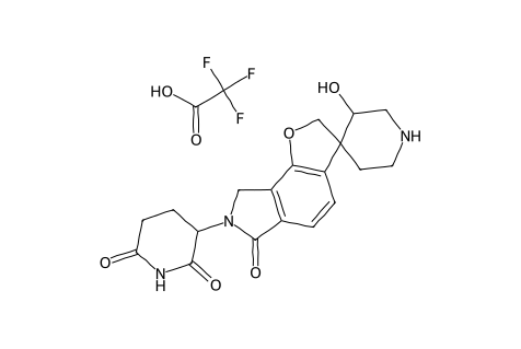 O=C(O)C(F)(F)F.O=C1CCC(N2Cc3c(ccc4c3OCC43CCNCC3O)C2=O)C(=O)N1